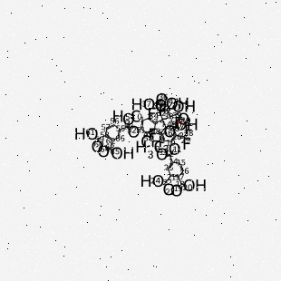 Cc1cc(C(c2c(F)c(C)c(OC(=O)c3ccc(C(=O)O)c(C(=O)O)c3)c(C(F)F)c2F)(C(F)(F)C(=O)O)C(C(=O)O)(C(=O)O)C(=O)O)cc(C)c1OC(=O)c1ccc(C(=O)O)c(C(=O)O)c1